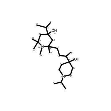 CC(C)N1CCC(O)(C(C)CCC2(C)CC(O)(C(C)C)CC(C)(C)N2C)CC1